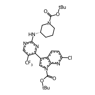 CC(C)(C)OC(=O)N1CCC[C@H](Nc2ncc(C(F)(F)F)c(-c3cn(C(=O)OC(C)(C)C)c4nc(Cl)ccc34)n2)C1